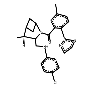 Cc1ccc(-n2nccn2)c(C(=O)N2C3CC(C3)[C@@H](C)C2CNc2ccc(Cl)cn2)n1